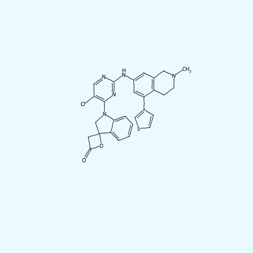 CN1CCc2c(cc(Nc3ncc(Cl)c(N4CC5(CC(=O)O5)c5ccccc54)n3)cc2-c2ccsc2)C1